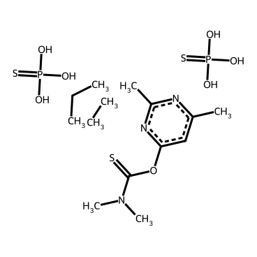 CC.CCC.Cc1cc(OC(=S)N(C)C)nc(C)n1.OP(O)(O)=S.OP(O)(O)=S